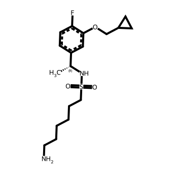 C[C@@H](NS(=O)(=O)CCCCCCN)c1ccc(F)c(OCC2CC2)c1